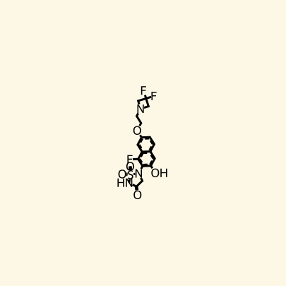 O=C1CN(c2c(O)cc3ccc(OCCN4CC(F)(F)C4)cc3c2F)S(=O)(=O)N1